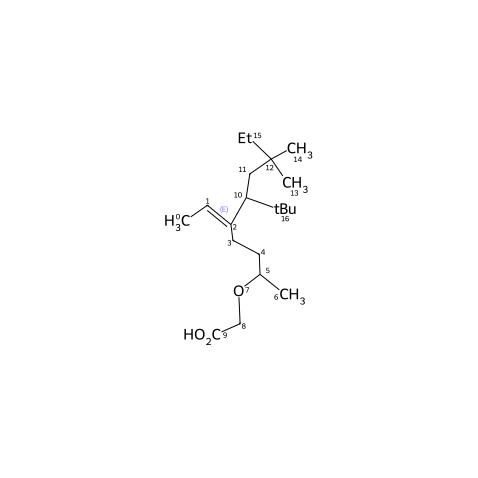 C/C=C(\CCC(C)OCC(=O)O)C(CC(C)(C)CC)C(C)(C)C